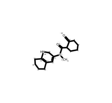 CN(C(=O)C1CCCCC1=O)C1=CC2=C(CCCC2)NC1